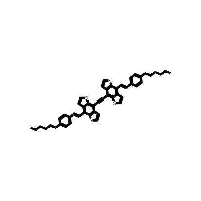 CCCCCCc1ccc(/C=C/c2c3ccsc3c(C#Cc3c4ccsc4c(/C=C/c4ccc(CCCCCC)cc4)c4ccsc34)c3ccsc23)cc1